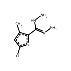 Cc1cc(Cl)sc1/C(=N/N)NN